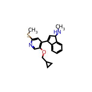 CNC1C=C(c2cc(SC)ncc2OCC2CC2)c2ccccc21